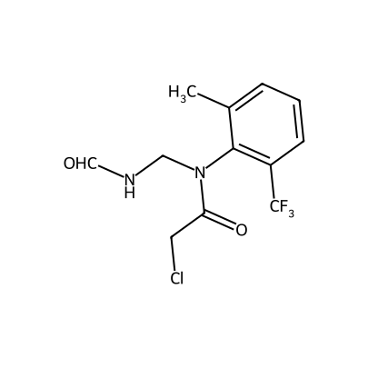 Cc1cccc(C(F)(F)F)c1N(CNC=O)C(=O)CCl